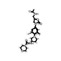 CC(=O)NCC1CN(c2cc(F)c(N3CCC(NC(=O)N4CCOCC4)C3)c(F)c2)C(=O)O1